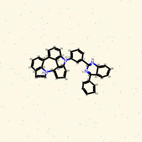 c1ccc(-c2nc(-c3cccc(-n4c5cccc6c7cccc8ccn(c9cccc4c9c65)c87)c3)nc3ccccc23)cc1